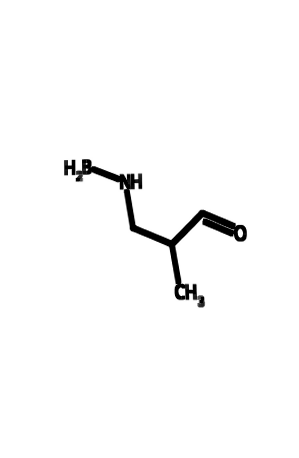 BNCC(C)C=O